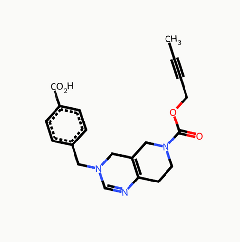 CC#CCOC(=O)N1CCC2=C(CN(Cc3ccc(C(=O)O)cc3)C=N2)C1